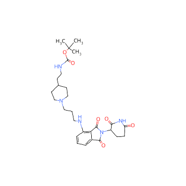 CC(C)(C)OC(=O)NCCC1CCN(CCCNc2cccc3c2C(=O)N(C2CCC(=O)NC2=O)C3=O)CC1